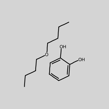 CCCCOCCCC.Oc1ccccc1O